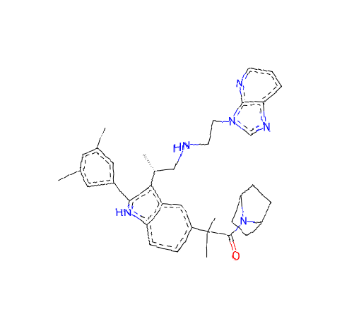 Cc1cc(C)cc(-c2[nH]c3ccc(C(C)(C)C(=O)N4C5CCC4CC5)cc3c2[C@H](C)CNCCn2cnc3cccnc32)c1